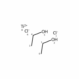 CCO.CCO.[Cl-].[Cl-].[Ti+2]